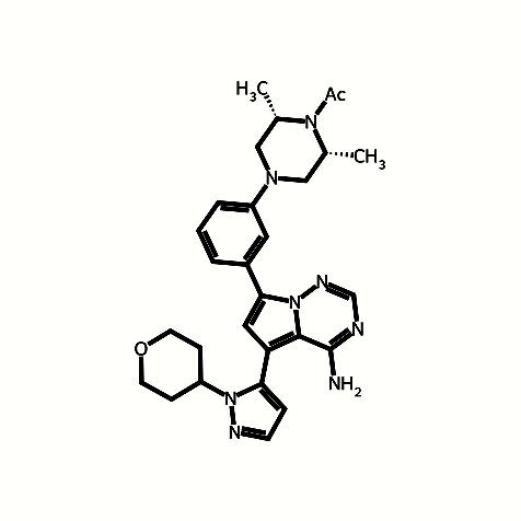 CC(=O)N1[C@H](C)CN(c2cccc(-c3cc(-c4ccnn4C4CCOCC4)c4c(N)ncnn34)c2)C[C@@H]1C